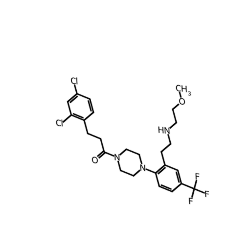 COCCNCCc1cc(C(F)(F)F)ccc1N1CCN(C(=O)CCc2ccc(Cl)cc2Cl)CC1